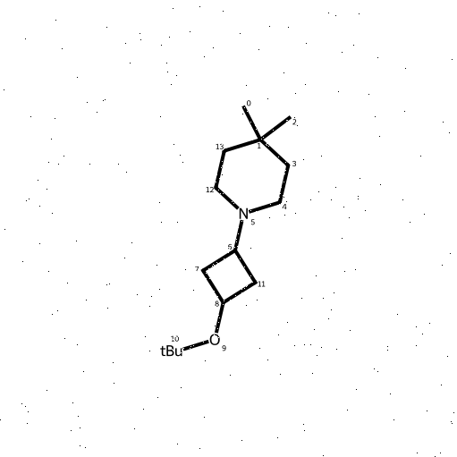 CC1(C)CCN(C2CC(OC(C)(C)C)C2)CC1